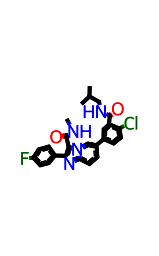 CNC(=O)c1c(-c2ccc(F)cc2)nc2ccc(-c3ccc(Cl)c(C(=O)NCC(C)C)c3)cn12